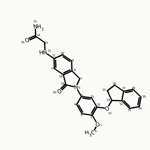 COc1ccc(N2Cc3ccc(NCC(N)=O)cc3C2=O)cc1OC1CCc2ccccc21